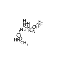 Cc1cc2cc(CN3CCC(Nc4ncnc5sc(CC(F)(F)F)cc45)C(N)C3)ccc2[nH]1